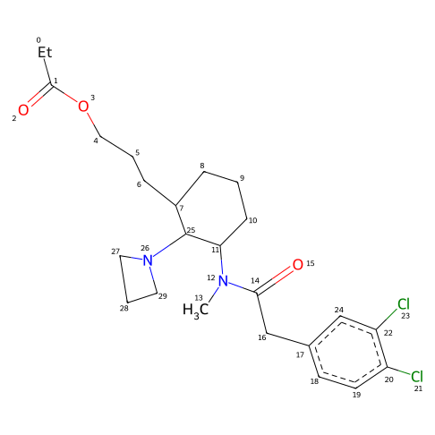 CCC(=O)OCCCC1CCCC(N(C)C(=O)Cc2ccc(Cl)c(Cl)c2)C1N1CCC1